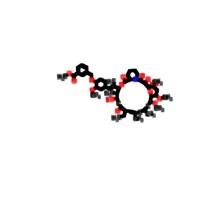 CCC1/C=C(\C)CC(C)CC(OC)C2OC(O)(C(=O)C(=O)N3CCCCC3C(=O)OC(C(C)=CC3CCC(OCc4cccc(C(=O)OC)c4)C(OC)C3)C(C)C(O)CC1=O)C(C)CC2OC